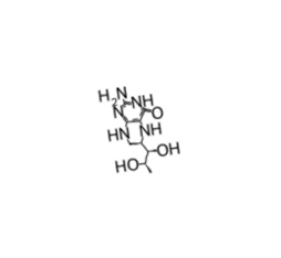 C[C@@H](O)[C@H](O)[C@H]1CNc2nc(N)[nH]c(=O)c2N1